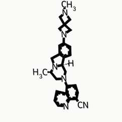 C[C@@H]1CN(c2ccc(C#N)c3ncccc23)C[C@@H]2c3ccc(N4CC5(CN(C)C5)C4)cc3CN12